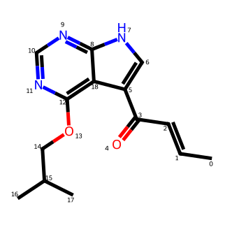 C/C=C/C(=O)c1c[nH]c2ncnc(OCC(C)C)c12